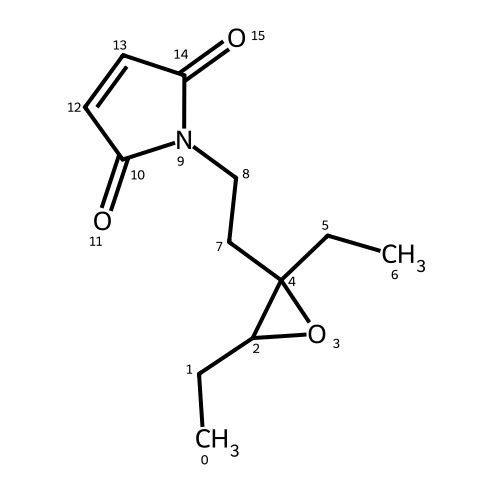 CCC1OC1(CC)CCN1C(=O)C=CC1=O